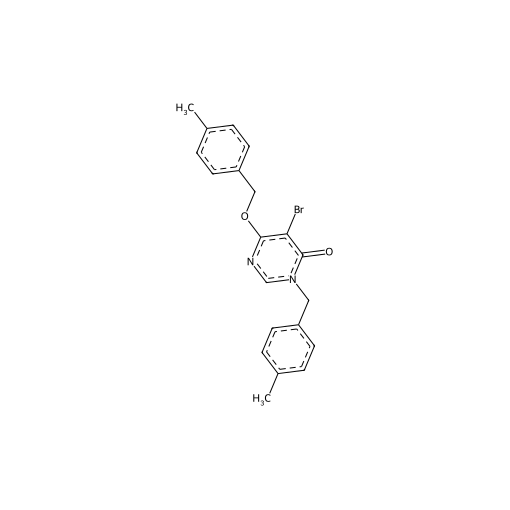 Cc1ccc(COc2ncn(Cc3ccc(C)cc3)c(=O)c2Br)cc1